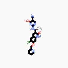 C[C@H](Nc1ncc(C#N)c(O)n1)c1cc2cc(Cl)c(OCc3ccccn3)cc2[nH]c1=O